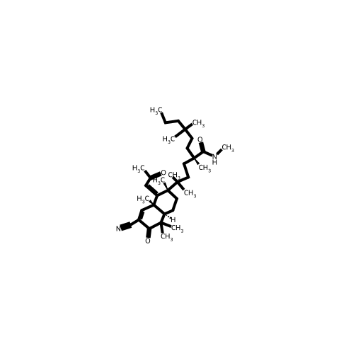 CCCC(C)(C)CC[C@@](C)(CCC(C)(C)[C@]1(C)CC[C@H]2C(C)(C)C(=O)C(C#N)=C[C@]2(C)/C1=C/C(C)=O)C(=O)NC